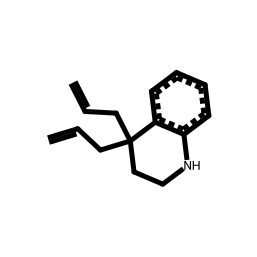 C=CCC1(CC=C)CCNc2ccccc21